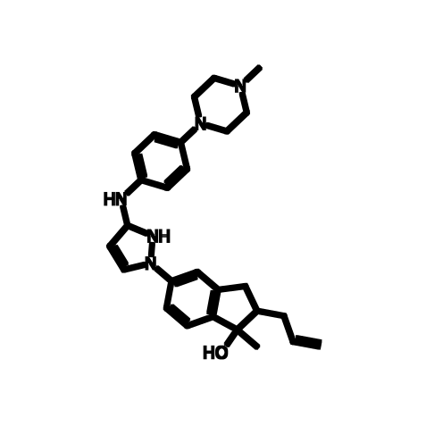 C=CCC1Cc2cc(N3C=CC(Nc4ccc(N5CCN(C)CC5)cc4)N3)ccc2C1(C)O